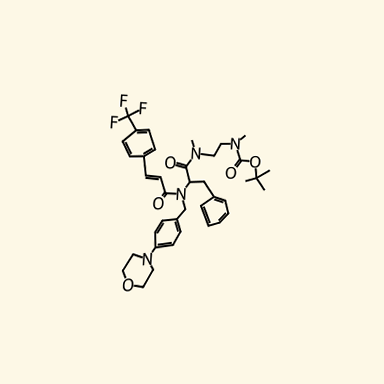 CN(CCN(C)C(=O)C(Cc1ccccc1)N(Cc1ccc(N2CCOCC2)cc1)C(=O)C=Cc1ccc(C(F)(F)F)cc1)C(=O)OC(C)(C)C